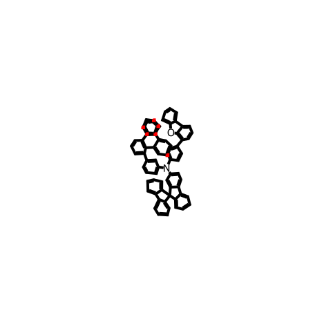 c1ccc(-c2ccccc2-c2c(-c3ccccc3)cccc2-c2cccc(N(c3ccc(-c4cccc5c4oc4ccccc45)cc3)c3ccc4c(c3)C3(c5ccccc5-c5ccccc53)c3ccccc3-4)c2)cc1